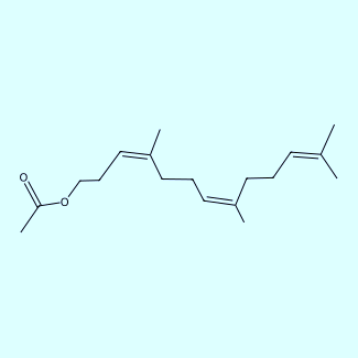 CC(=O)OCCC=C(C)CCC=C(C)CCC=C(C)C